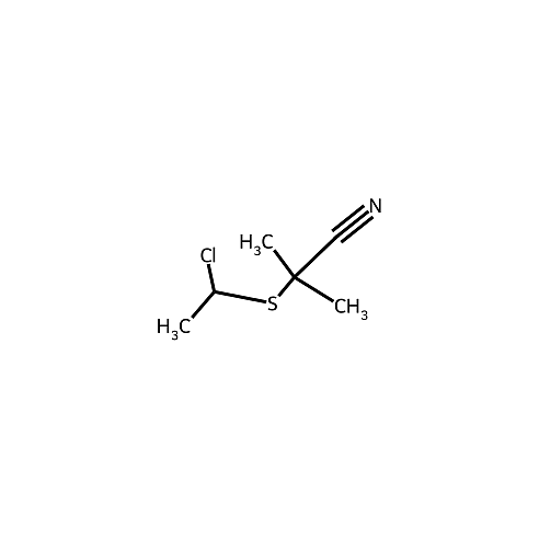 CC(Cl)SC(C)(C)C#N